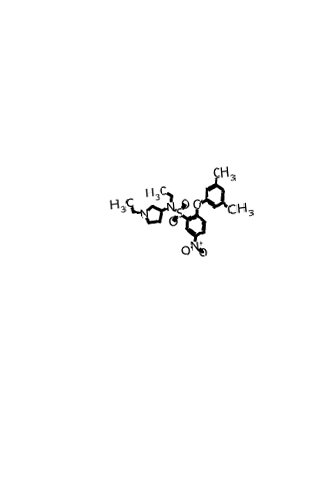 CCN1CCC(N(CC)S(=O)(=O)c2cc([N+](=O)[O-])ccc2Oc2cc(C)cc(C)c2)C1